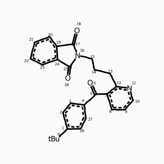 CC(C)(C)c1ccc(C(=O)c2cccnc2CCCN2C(=O)c3ccccc3C2=O)cc1